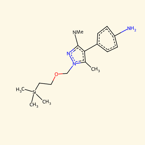 CNc1nn(COCC[Si](C)(C)C)c(C)c1-c1ccc(N)cc1